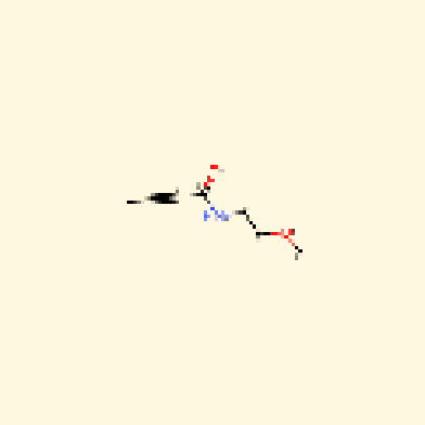 CC#CC(=O)NCCOC